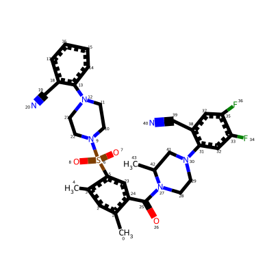 Cc1cc(C)c(S(=O)(=O)N2CCN(c3ccccc3C#N)CC2)cc1C(=O)N1CCN(c2cc(F)c(F)cc2C#N)CC1C